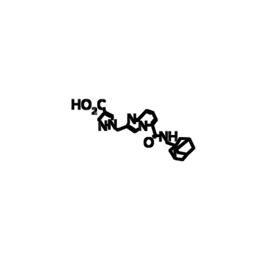 O=C(O)c1cnn(Cc2cn3c(C(=O)NCC45CC6CC(CC(C6)C4)C5)cccc3n2)c1